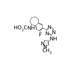 Cn1cc(Nc2ncnc(-c3cc4c(cc3F)C(NC(=O)O)CCCC4)n2)cn1